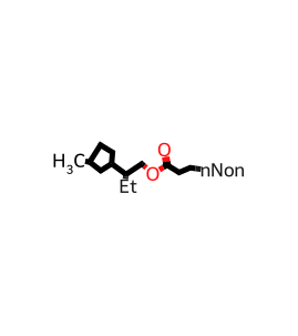 CCCCCCCCCCCC(=O)OCC(CC)C1CCC(C)C1